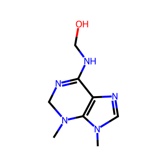 CN1CN=C(NCO)c2ncn(C)c21